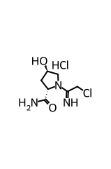 Cl.N=C(CCl)N1C[C@H](O)C[C@H]1C(N)=O